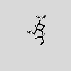 C=CC(=O)OC1CC([PH](F)=S)OC1CS